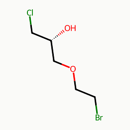 O[C@@H](CCl)COCCBr